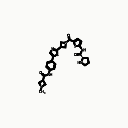 CN1CC(C(=O)Nc2ccc(-c3cnc(C4CN(C(=O)c5ccc(NC(=O)[C@@H]6CCCN6)s5)C4)s3)cc2)C1